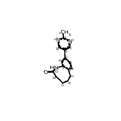 Cc1ncc(-c2ccc3c(c2)NC(=O)CCCC3)cn1